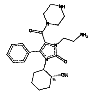 NCCn1c(C(=O)N2CCNCC2)c(-c2ccccc2)n(C2CCCC[C@H]2O)c1=O